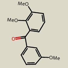 COc1cccc(C(=O)c2cccc(OC)c2OC)c1